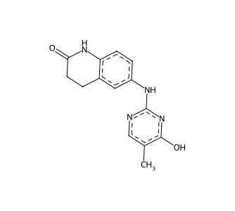 Cc1cnc(Nc2ccc3c(c2)CCC(=O)N3)nc1O